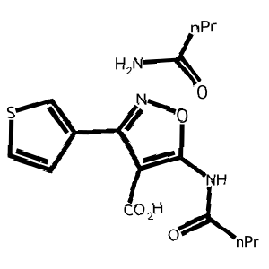 CCCC(=O)Nc1onc(-c2ccsc2)c1C(=O)O.CCCC(N)=O